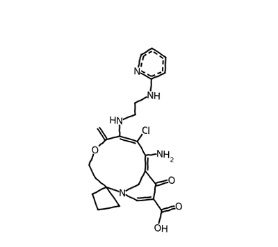 C=C1OCCC2(CCC2)N2C=C(C(=O)O)C(=O)/C(=C(N)/C(Cl)=C\1NCCNc1ccccn1)C2